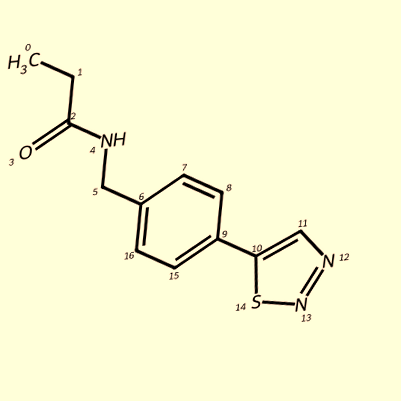 CCC(=O)NCc1ccc(-c2cnns2)cc1